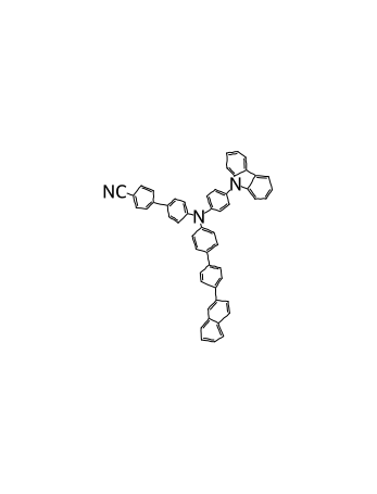 N#Cc1ccc(-c2ccc(N(c3ccc(-c4ccc(-c5ccc6ccccc6c5)cc4)cc3)c3ccc(-n4c5ccccc5c5ccccc54)cc3)cc2)cc1